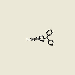 N=[N+]=N.c1ccc(C(c2ccccc2)c2ccccc2)cc1